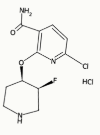 Cl.NC(=O)c1ccc(Cl)nc1O[C@@H]1CCNC[C@@H]1F